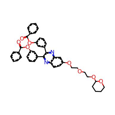 O=C(Oc1cccc(-c2nc3ccc(OCCOCCOC4CCCCO4)cc3nc2-c2cccc(OC(=O)c3ccccc3)c2)c1)c1ccccc1